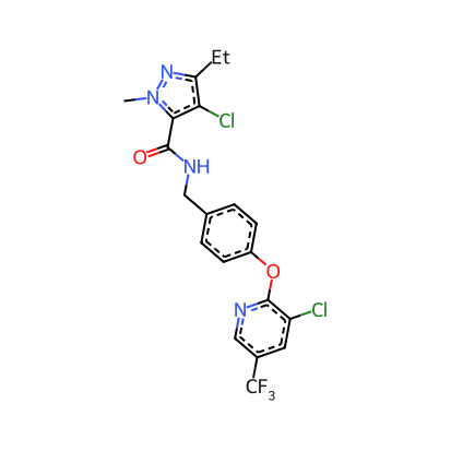 CCc1nn(C)c(C(=O)NCc2ccc(Oc3ncc(C(F)(F)F)cc3Cl)cc2)c1Cl